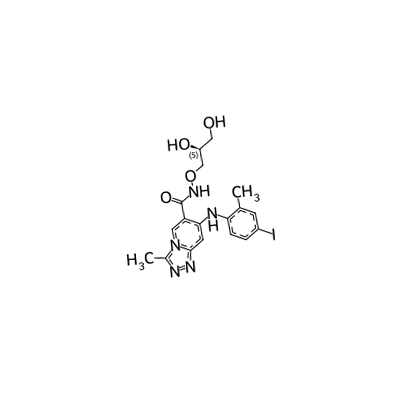 Cc1cc(I)ccc1Nc1cc2nnc(C)n2cc1C(=O)NOC[C@@H](O)CO